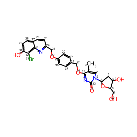 Cc1cn(C2CC(O)C(CO)O2)c(=O)nc1OCc1ccc(OCc2ccc3ccc(O)c(Br)c3n2)cc1